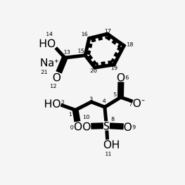 O=C(O)CC(C(=O)[O-])S(=O)(=O)O.O=C(O)c1ccccc1.[Na+]